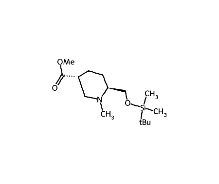 COC(=O)[C@@H]1CC[C@@H](CO[Si](C)(C)C(C)(C)C)N(C)C1